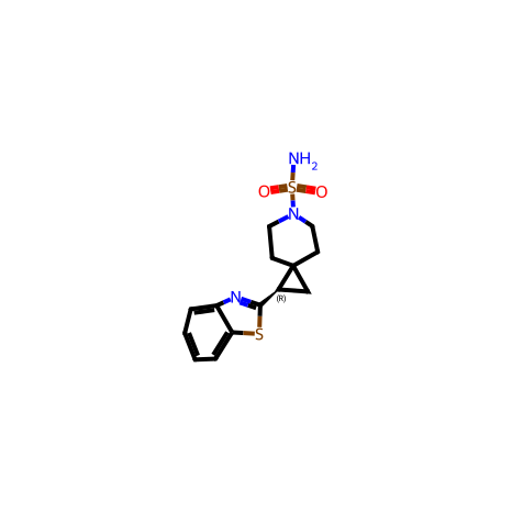 NS(=O)(=O)N1CCC2(CC1)C[C@H]2c1nc2ccccc2s1